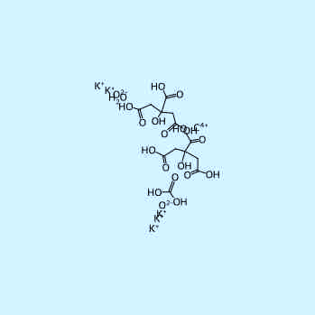 O.O=C(O)CC(O)(CC(=O)O)C(=O)O.O=C(O)CC(O)(CC(=O)O)C(=O)O.O=C(O)O.[C+4].[K+].[K+].[K+].[K+].[K+].[O-2].[O-2]